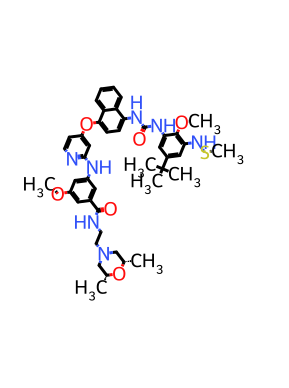 COc1cc(Nc2cc(Oc3ccc(NC(=O)Nc4cc(C(C)(C)C)cc(NSC)c4OC)c4ccccc34)ccn2)cc(C(=O)NCCN2C[C@@H](C)O[C@@H](C)C2)c1